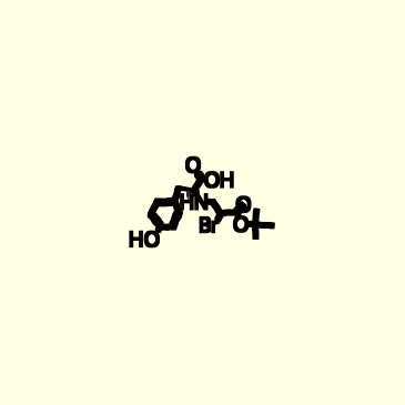 CC(C)(C)OC(=O)C(Br)CN[C@@H](Cc1ccc(O)cc1)C(=O)O